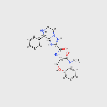 CN1C(=O)[C@@H](NC(=O)c2nc3n(n2)CCN[C@@H]3C2C=CC=CC2)COc2ccccc21